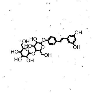 OCC1OC(OC2C(CO)OC(Oc3ccc(/C=C/c4cc(O)cc(O)c4)cc3)C(O)C2O)C(O)C(O)C1O